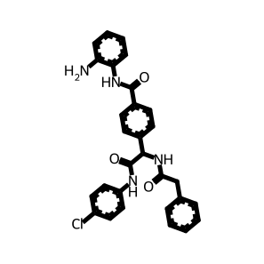 Nc1ccccc1NC(=O)c1ccc(C(NC(=O)Cc2ccccc2)C(=O)Nc2ccc(Cl)cc2)cc1